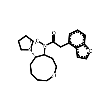 CN(C(=O)Cc1cccc2occc12)[C@H]1CCOCCCC[C@@H]1N1CCCC1